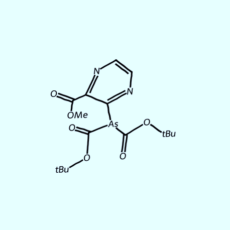 COC(=O)c1nccnc1[As](C(=O)OC(C)(C)C)C(=O)OC(C)(C)C